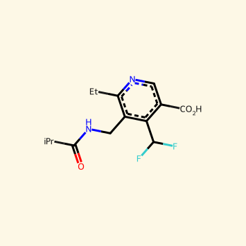 CCc1ncc(C(=O)O)c(C(F)F)c1CNC(=O)C(C)C